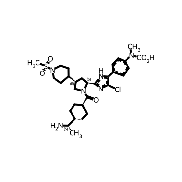 C[C@H](N)[C@H]1CC[C@H](C(=O)N2C[C@@H](C3CCN(S(C)(=O)=O)CC3)C[C@H]2c2nc(Cl)c(-c3ccc(N(C)C(=O)O)cc3)[nH]2)CC1